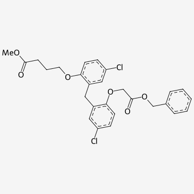 COC(=O)CCCOc1ccc(Cl)cc1Cc1cc(Cl)ccc1OCC(=O)OCc1ccccc1